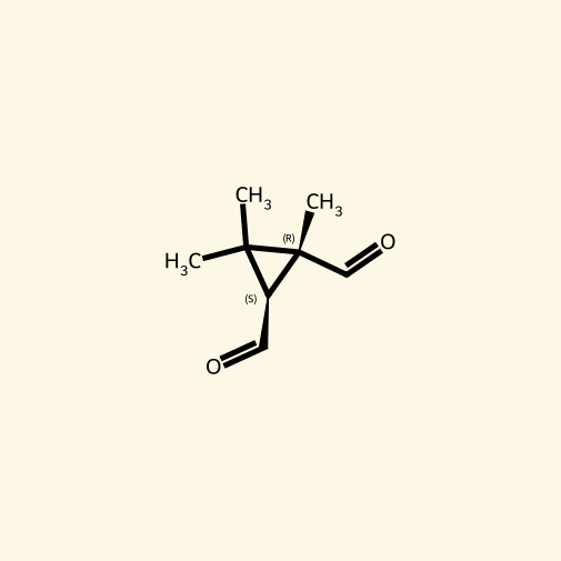 CC1(C)[C@H](C=O)[C@@]1(C)C=O